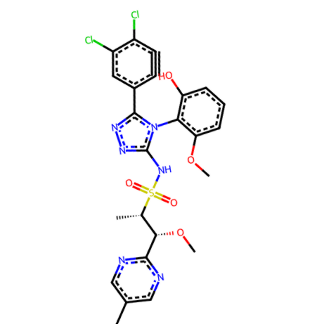 COc1cccc(O)c1-n1c(NS(=O)(=O)[C@@H](C)[C@H](OC)c2ncc(C)cn2)nnc1-c1c#cc(Cl)c(Cl)c1